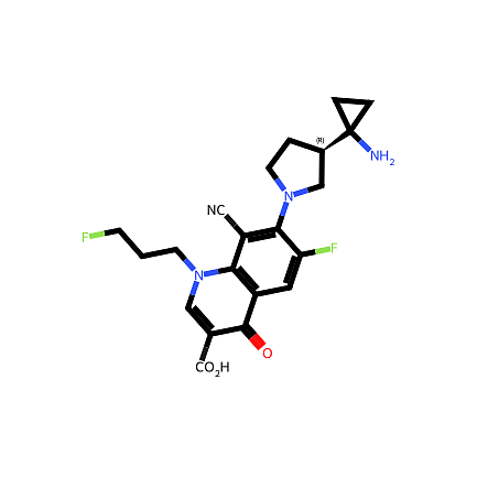 N#Cc1c(N2CC[C@@H](C3(N)CC3)C2)c(F)cc2c(=O)c(C(=O)O)cn(CCCF)c12